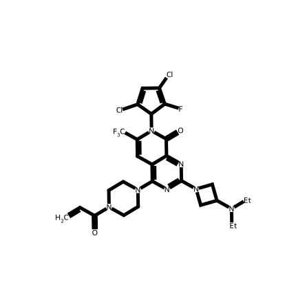 C=CC(=O)N1CCN(c2nc(N3CC(N(CC)CC)C3)nc3c(=O)n(C4C(Cl)=CC(Cl)=C4F)c(C(F)(F)F)cc23)CC1